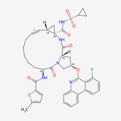 Cc1ccc(C(=O)N[C@H]2CCCCC/C=C\[C@@H]3C[C@@]3(C(=O)NS(=O)(=O)C3CC3)NC(=O)[C@@H]3C[C@@H](Oc4nc5ccccc5c5cccc(F)c45)CN3C2=O)s1